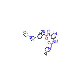 Cc1ncc(NC(=O)CN2CCC3(CC3)C2)cc1NC(=O)c1nnn2cc(-c3cnn(C4CCOC4)c3)ccc12